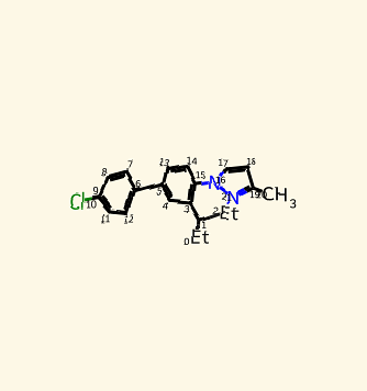 CCC(CC)c1cc(-c2ccc(Cl)cc2)ccc1-n1ccc(C)n1